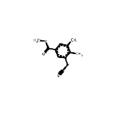 COC(=O)c1cc(C)c(C)c(CC#N)c1